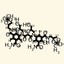 CCc1c(C(N)=O)c(I)c(N(CC(O)CO)C(=O)CC(=O)N(CC(O)CO)c2c(I)c(C(N)=O)c(I)c(C(=O)NCC3COC(C)(C)O3)c2I)c(I)c1C(=O)NCC1COC(C)(C)O1